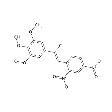 COc1cc(C(Cl)=Cc2ccc([N+](=O)[O-])cc2[N+](=O)[O-])cc(OC)c1OC